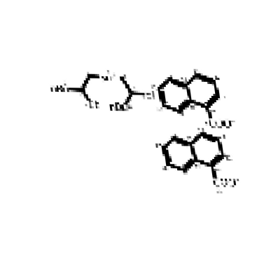 CCCCC(CC)[CH2][Sn+2][CH2]C(CC)CCCC.O=C([O-])c1cccc2ccccc12.O=C([O-])c1cccc2ccccc12